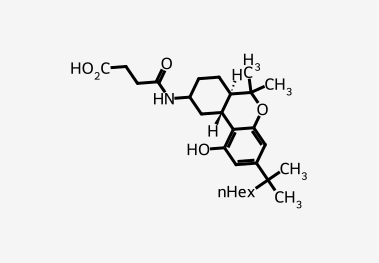 CCCCCCC(C)(C)c1cc(O)c2c(c1)OC(C)(C)[C@@H]1CCC(NC(=O)CCC(=O)O)C[C@@H]21